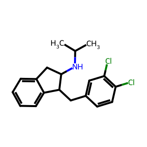 CC(C)NC1Cc2ccccc2C1Cc1ccc(Cl)c(Cl)c1